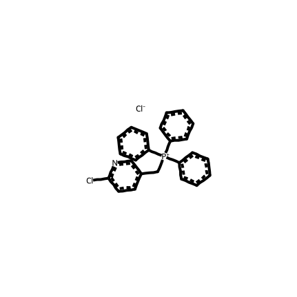 Clc1ccc(C[P+](c2ccccc2)(c2ccccc2)c2ccccc2)cn1.[Cl-]